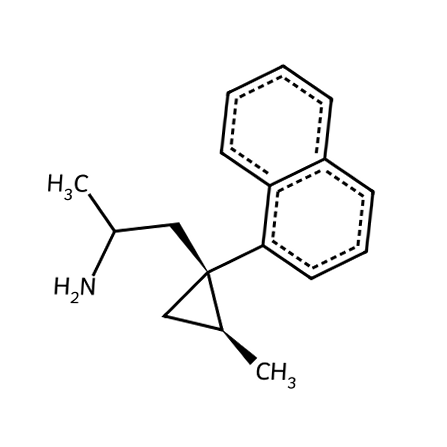 CC(N)C[C@]1(c2cccc3ccccc23)C[C@@H]1C